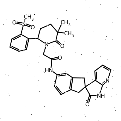 CC1(C)CCC(c2ccccc2S(C)(=O)=O)N(CC(=O)Nc2ccc3c(c2)CC2(C3)C(=O)Nc3ncccc32)C1=O